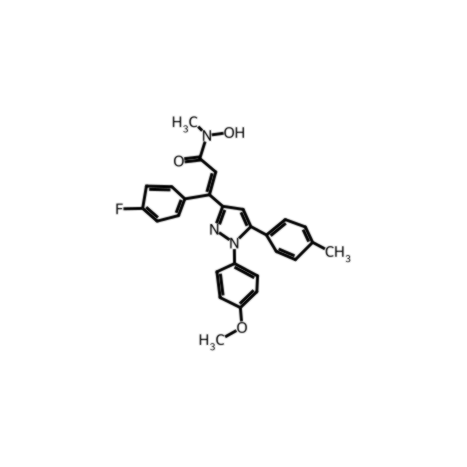 COc1ccc(-n2nc(C(=CC(=O)N(C)O)c3ccc(F)cc3)cc2-c2ccc(C)cc2)cc1